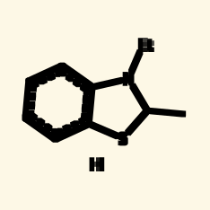 CCN1c2ccccc2SC1C.I